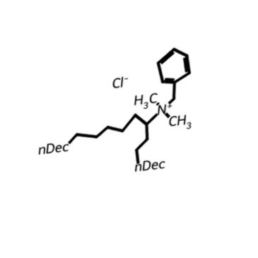 CCCCCCCCCCCCCCCC(CCCCCCCCCCCC)[N+](C)(C)Cc1ccccc1.[Cl-]